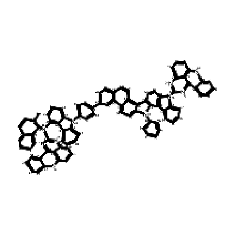 Cc1ccc2ccccc2c1N(c1nc2c3c(cccc3n1)Sc1ccccc1-2)c1cccc2c1c1ccccc1n2-c1ccc(-c2ccc3ccc4c(ccc5c4c4ccc6c(c7ccccc7n6-c6nc7c8c(cccc8n6)Sc6ccccc6-7)c4n5-c4ccccc4)c3c2)cc1